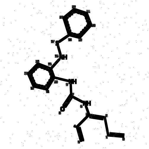 C=C/C=C(\C=C)NC(=O)Nc1ccccc1NSc1ccccc1